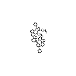 C=Cc1nc(-c2ccccc2)oc1C(=C)c1c2ccccc2cc2c1oc1c(N(c3ccc(-c4ccccc4)cc3)c3cccc4oc5ccccc5c34)cccc12